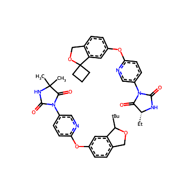 CC1(C)NC(=O)N(c2ccc(Oc3ccc4c(c3)C(C(C)(C)C)OC4)nc2)C1=O.CC[C@H]1NC(=O)N(c2ccc(Oc3ccc4c(c3)C3(CCC3)OC4)nc2)C1=O